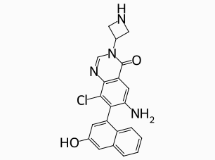 Nc1cc2c(=O)n(C3CNC3)cnc2c(Cl)c1-c1cc(O)cc2ccccc12